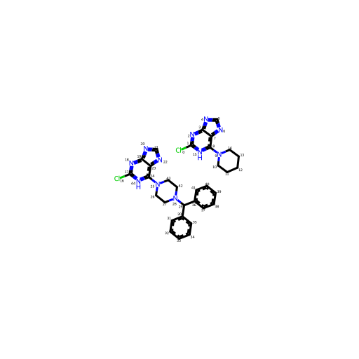 Clc1nc2ncnc-2c(N2CCCCC2)[nH]1.Clc1nc2ncnc-2c(N2CCN(C(c3ccccc3)c3ccccc3)CC2)[nH]1